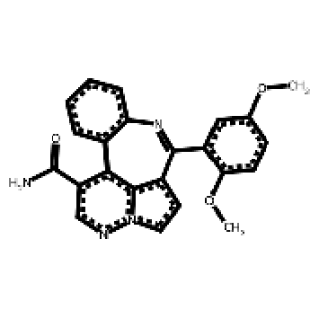 COc1ccc(OC)c(C2=Nc3ccccc3-c3c(C(N)=O)cnn4ccc2c34)c1